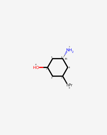 CCCC1CC(O)C[C@H](N)C1